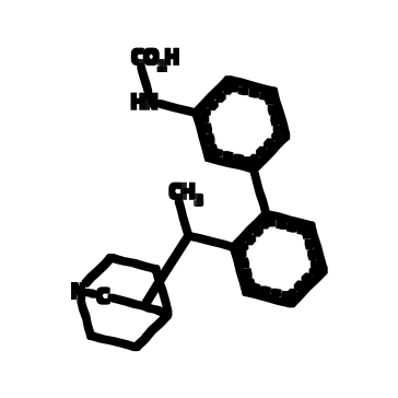 CC(c1ccccc1-c1cccc(NC(=O)O)c1)C1CN2CCC1CC2